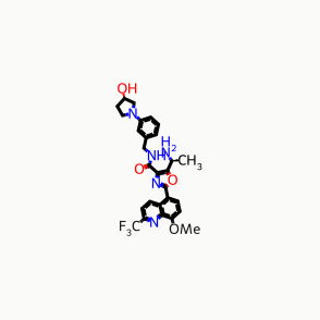 COc1ccc(-c2nc(C(=O)NCc3cccc(N4CC[C@@H](O)C4)c3)c([C@H](C)N)o2)c2ccc(C(F)(F)F)nc12